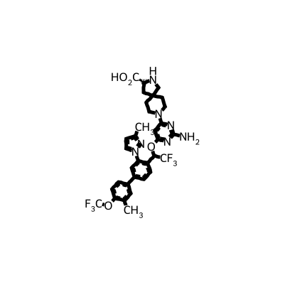 Cc1ccn(-c2cc(-c3ccc(OC(F)(F)F)c(C)c3)ccc2C(Oc2cc(N3CCC4(CC3)CN[C@H](C(=O)O)C4)nc(N)n2)C(F)(F)F)n1